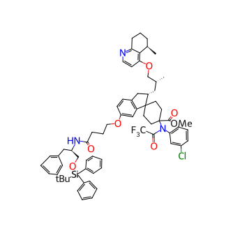 COC(=O)C1(N(C(=O)C(F)(F)F)c2cccc(Cl)c2)CCC2(CC1)c1cc(OCCCC(=O)N[C@@H](CO[Si](c3ccccc3)(c3ccccc3)C(C)(C)C)Cc3ccccc3)ccc1C[C@@H]2C[C@@H](C)COc1ccnc2c1[C@H](C)CCC2